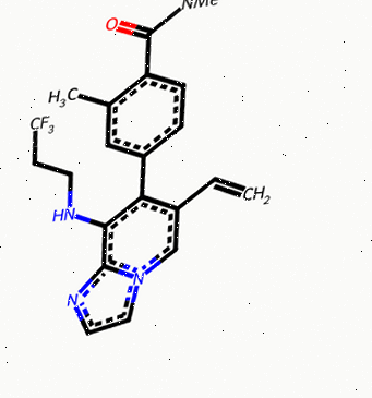 C=Cc1cn2ccnc2c(NCCC(F)(F)F)c1-c1ccc(C(=O)NC)c(C)c1